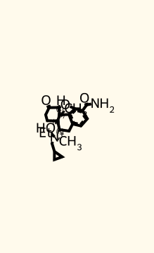 CC[N+](C)(CC1CC1)[C@@H]1Cc2ccc(C(N)=O)c3c2[C@@]2(C)[C@@H](O3)C(=O)CC[C@@]12O